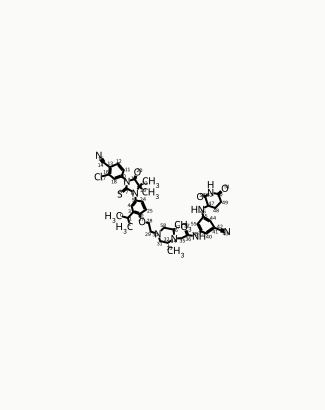 CC(C)c1cc(N2C(=S)N(c3ccc(C#N)c(Cl)c3)C(=O)C2(C)C)ccc1OCCN1C[C@@H](C)N(CC(=O)Nc2cc(C#N)cc(NC3CCC(=O)NC3=O)c2)[C@@H](C)C1